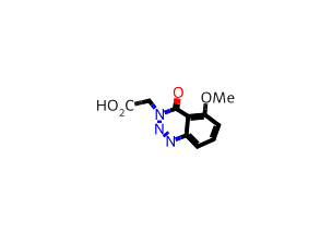 COc1cccc2nnn(CC(=O)O)c(=O)c12